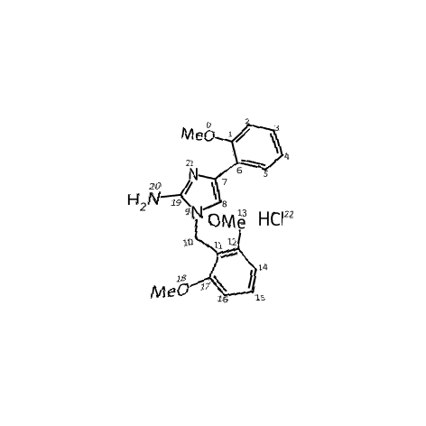 COc1ccccc1-c1cn(Cc2c(OC)cccc2OC)c(N)n1.Cl